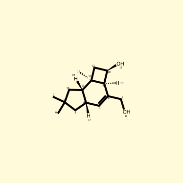 CC1(C)C[C@H]2C=C(CO)[C@@H]3[C@H](O)C[C@]3(C)[C@H]2C1